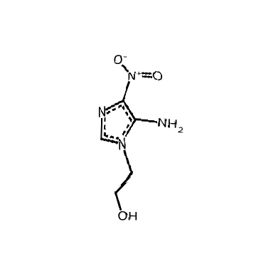 Nc1c([N+](=O)[O-])ncn1CCO